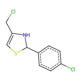 ClCC1=CSC(c2ccc(Cl)cc2)N1